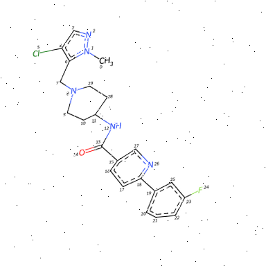 Cn1ncc(Cl)c1CN1CCC(NC(=O)c2ccc(-c3cccc(F)c3)nc2)CC1